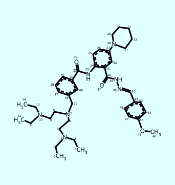 CCN(CC)CCN(CCN(CC)CC)Cc1cccc(C(=O)Nc2ccc(N3CCCCC3)cc2C(=O)NN=Cc2ccc(OC)cc2)c1